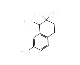 CC1c2cc(O)ccc2CCC1(C)C